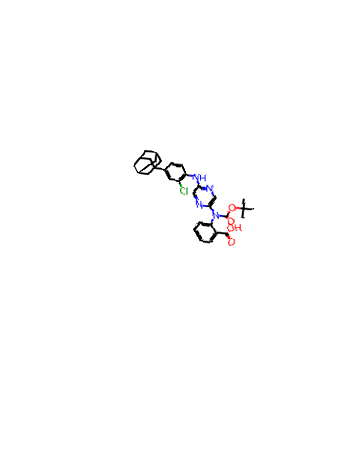 CC(C)(C)OC(=O)N(c1cnc(Nc2ccc(C34CC5CC(CC(C5)C3)C4)cc2Cl)cn1)c1ccccc1C(=O)O